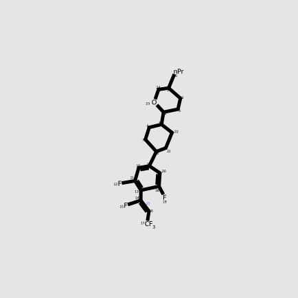 CCCC1CCC(C2CCC(c3cc(F)c(/C(F)=C/C(F)(F)F)c(F)c3)CC2)OC1